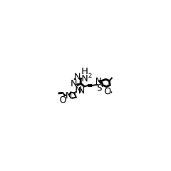 C=CC(=O)N1CCC(n2nc(C#Cc3nc4cc(C)cc(OC)c4s3)c3c(N)ncnc32)C1